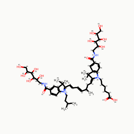 CC(C)CC[N+]1=C(/C=C/C=C/C(C)C/C=C2/N(CCCCCC(=O)O)c3ccc(C(=O)NCC(O)C(O)C(O)C(O)CO)cc3C2(C)C)C(C)(C)c2cc(C(=O)NCC(O)C(O)C(O)C(O)CO)ccc21